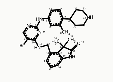 Cc1cc(Nc2ncc(Br)c(NCc3cccc4c3C(C)(C)C(=O)N4)n2)ccc1C1CCNCC1